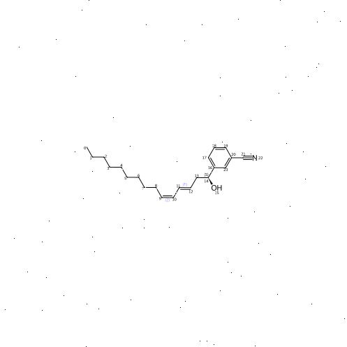 CCCCCCCCC/C=C\C=C\C[C@H](O)c1cccc(C#N)c1